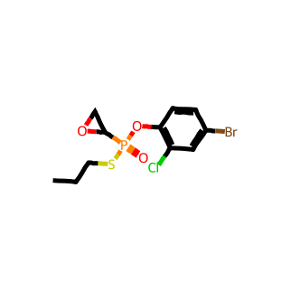 CCCSP(=O)(Oc1ccc(Br)cc1Cl)C1CO1